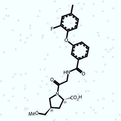 COC[C@@H]1C[C@@H](C(=O)O)N(C(=O)CNC(=O)c2cccc(Oc3ccc(C)cc3F)c2)C1